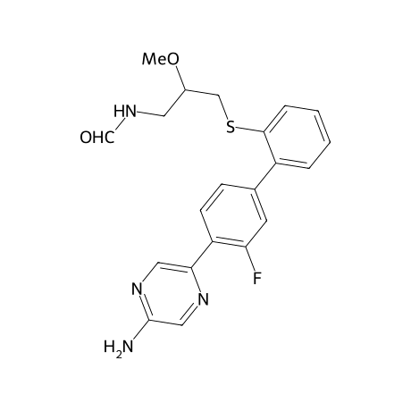 COC(CNC=O)CSc1ccccc1-c1ccc(-c2cnc(N)cn2)c(F)c1